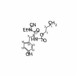 C=CCCOC(=O)NC(Cc1ccc(O)cc1)C(=O)N(C#N)CC